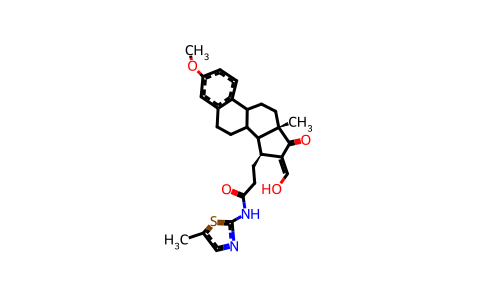 COc1ccc2c(c1)CCC1C2CC[C@]2(C)C(=O)/C(=C/O)[C@@H](CCC(=O)Nc3ncc(C)s3)C12